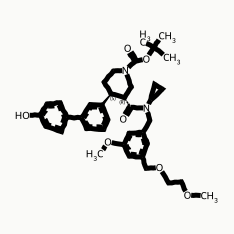 COCCOCc1cc(CN(C(=O)[C@H]2CN(C(=O)OC(C)(C)C)CC[C@@H]2c2cccc(-c3ccc(O)cc3)c2)C2CC2)cc(OC)c1